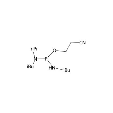 CCCN(C(C)CC)P(NC(C)CC)OCCC#N